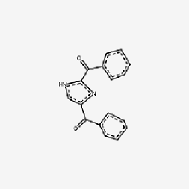 O=C(c1ccccc1)c1c[nH]c(C(=O)c2ccccc2)n1